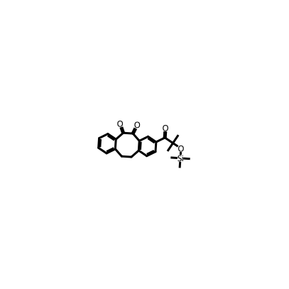 CC(C)(O[Si](C)(C)C)C(=O)c1ccc2c(c1)C(=O)C(=O)c1ccccc1CC2